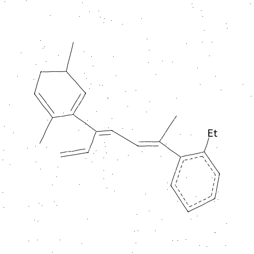 C=C/C(=C\C=C(/C)c1ccccc1CC)C1=CC(C)CC=C1C